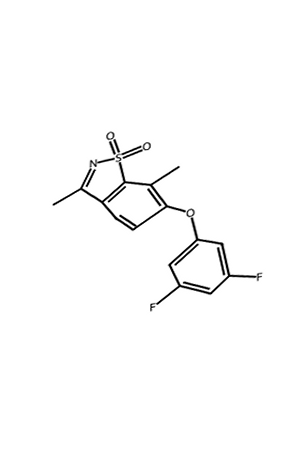 CC1=NS(=O)(=O)c2c1ccc(Oc1cc(F)cc(F)c1)c2C